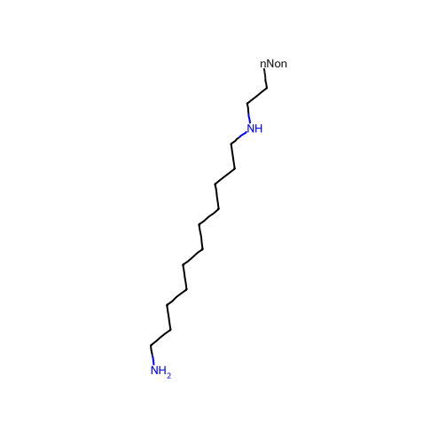 CCCCCCCCCCCNCCCCCCCCCCCN